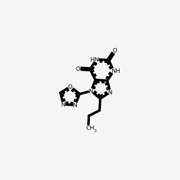 CCCc1nc2[nH]c(=O)[nH]c(=O)c2n1-c1nnco1